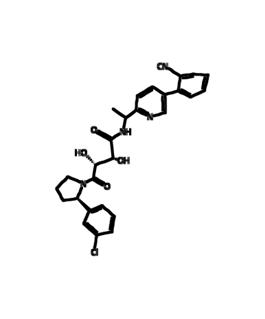 [C-]#[N+]c1ccccc1-c1ccc(C(C)NC(=O)[C@H](O)[C@@H](O)C(=O)N2CCC[C@@H]2c2cccc(Cl)c2)nc1